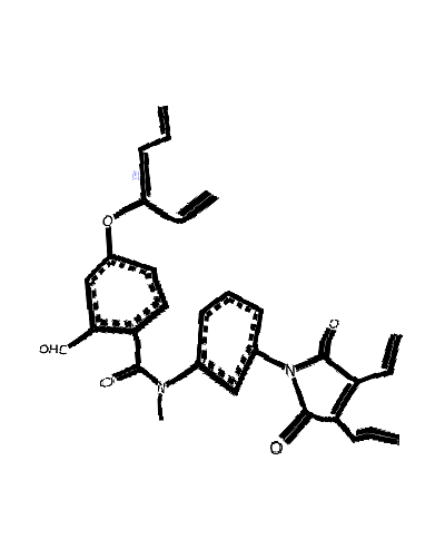 C=C/C=C(\C=C)Oc1ccc(C(=O)N(C)c2cccc(N3C(=O)C(C=C)=C(C=C)C3=O)c2)c(C=O)c1